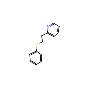 [c]1ccc(SCCc2ccccn2)cc1